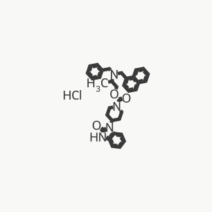 CC(COC(=O)N1CCC(n2c(=O)[nH]c3ccccc32)CC1)N(Cc1ccccc1)Cc1cccc2ccccc12.Cl